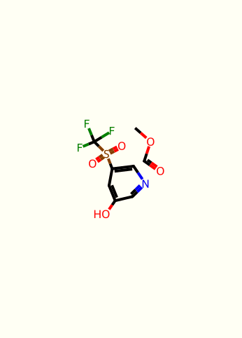 COC=O.O=S(=O)(c1cncc(O)c1)C(F)(F)F